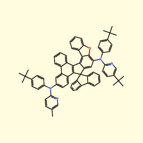 Cc1ccc(N(c2ccc(C(C)(C)C)cc2)c2ccc3c4c(c5ccccc5c3c2)-c2c(cc(N(c3ccc(C(C)(C)C)cc3)c3ccc(C(C)(C)C)cn3)c3oc5ccccc5c23)C42c3ccccc3-c3ccccc32)nc1